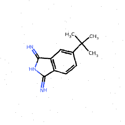 CC(C)(C)c1ccc2c(c1)C(=N)NC2=N